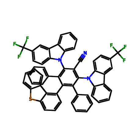 N#Cc1c(-n2c3ccccc3c3cc(C(F)(F)F)ccc32)c(-c2ccccc2)c(-c2cccc3sc4ccccc4c23)c(-c2ccccc2)c1-n1c2ccccc2c2cc(C(F)(F)F)ccc21